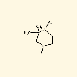 CC(=O)N1CCN(I)CC1(C)C